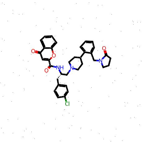 O=C(N[C@@H](Cc1ccc(Cl)cc1)CN1CCC(c2ccccc2CN2CCCC2=O)CC1)c1cc(=O)c2ccccc2o1